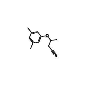 Cc1cc(C)cc(OC(C)CC#N)c1